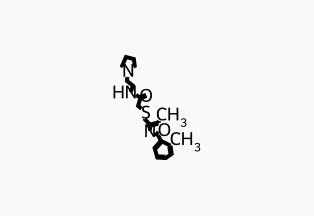 Cc1ccccc1-c1nc(CSCC(=O)NCCN2CCCC2)c(C)o1